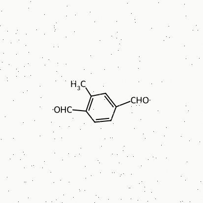 Cc1cc([C]=O)ccc1[C]=O